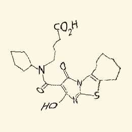 O=C(O)CCCN(C(=O)c1c(O)nc2sc3c(n2c1=O)CCCCC3)C1CCCC1